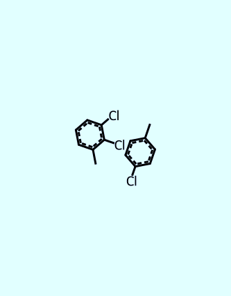 Cc1ccc(Cl)cc1.Cc1cccc(Cl)c1Cl